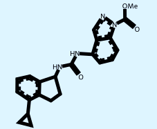 COC(=O)n1ncc2c(NC(=O)NC3CCc4c(C5CC5)cccc43)cccc21